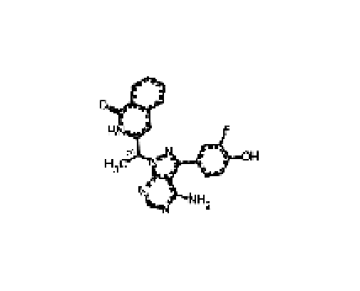 C[C@@H](c1cc2ccccc2c(=O)[nH]1)n1nc(-c2ccc(O)c(F)c2)c2c(N)ncnc21